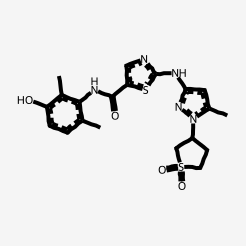 Cc1ccc(O)c(C)c1NC(=O)c1cnc(Nc2cc(C)n(C3CCS(=O)(=O)C3)n2)s1